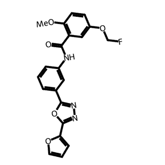 COc1ccc(OCF)cc1C(=O)Nc1cccc(-c2nnc(-c3ccco3)o2)c1